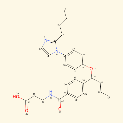 CCCCc1nccn1-c1ccc(OC(CCC)c2ccc(C(=O)NCCC(=O)O)cc2)cc1